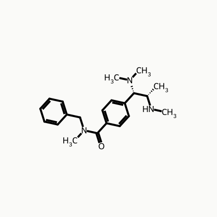 CN[C@@H](C)[C@H](c1ccc(C(=O)N(C)Cc2ccccc2)cc1)N(C)C